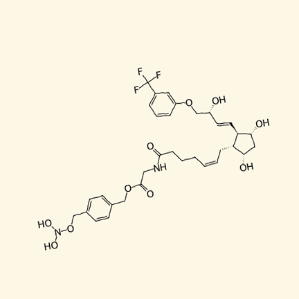 O=C(CCC/C=C\C[C@@H]1[C@@H](/C=C/[C@@H](O)COc2cccc(C(F)(F)F)c2)[C@H](O)C[C@@H]1O)NCC(=O)OCc1ccc(CON(O)O)cc1